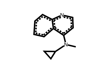 CN(c1ccnc2ccccc12)C1CC1